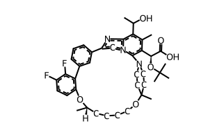 Cc1c([C@H](OC(C)(C)C)C(=O)O)c2n3cc(nc3c1C(C)O)-c1cccc(c1)-c1c(ccc(F)c1F)O[C@@H](C)CCCCOC1(C)CCN2CC1